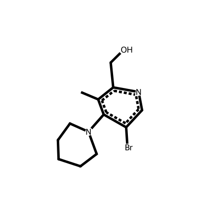 Cc1c(CO)ncc(Br)c1N1CCCCC1